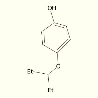 CCC(CC)Oc1ccc(O)cc1